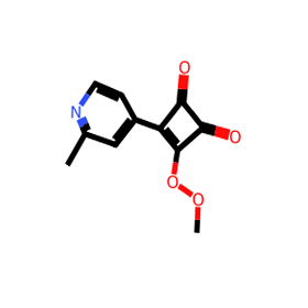 COOc1c(-c2ccnc(C)c2)c(=O)c1=O